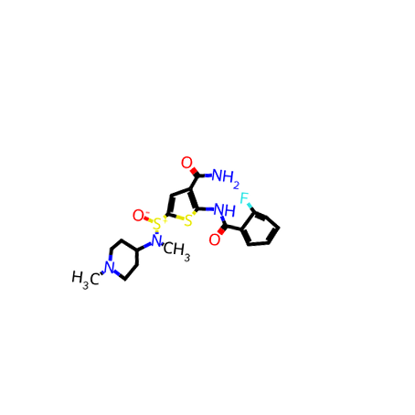 CN1CCC(N(C)[S+]([O-])c2cc(C(N)=O)c(NC(=O)c3ccccc3F)s2)CC1